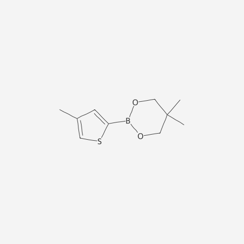 Cc1csc(B2OCC(C)(C)CO2)c1